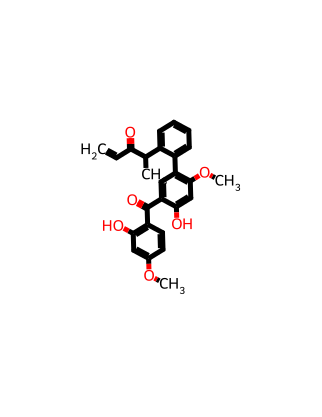 C=CC(=O)C(C)c1ccccc1-c1cc(C(=O)c2ccc(OC)cc2O)c(O)cc1OC